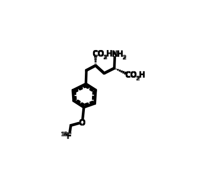 N[C@@H](C[C@H](Cc1ccc(OC[18F])cc1)C(=O)O)C(=O)O